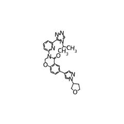 CC(C)n1cnnc1-c1cccc(N2COc3ccc(-c4cnn(C5CCOC5)c4)cc3C2=O)n1